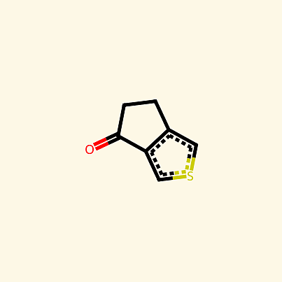 O=C1CCc2cscc21